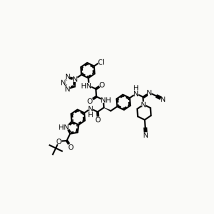 CC(C)(C)OC(=O)c1cc2cc(NC(=O)[C@H](Cc3ccc(N/C(=N/C#N)N4CCC(C#N)CC4)cc3)NC(=O)C(=O)Nc3cc(Cl)ccc3-n3cnnn3)ccc2[nH]1